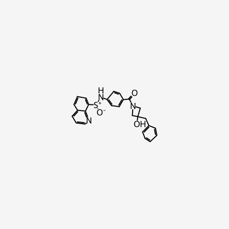 O=C(c1ccc(N[S+]([O-])c2cccc3cccnc23)cc1)N1CC(O)(Cc2ccccc2)C1